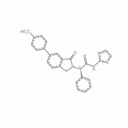 O=C(O)c1ccc(-c2ccc3c(c2)C(=O)N([C@@H](C(=O)Nc2nccs2)c2ccccc2)C3)cc1